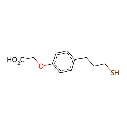 O=C(O)COc1ccc(CCCS)cc1